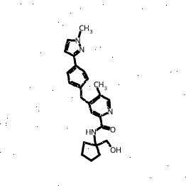 Cc1cnc(C(=O)NC2(CO)CCCC2)cc1Cc1ccc(-c2ccn(C)n2)cc1